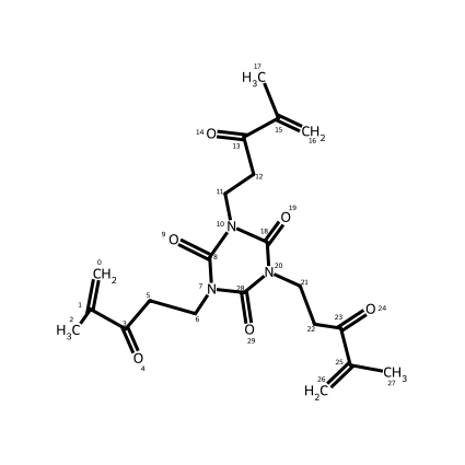 C=C(C)C(=O)CCn1c(=O)n(CCC(=O)C(=C)C)c(=O)n(CCC(=O)C(=C)C)c1=O